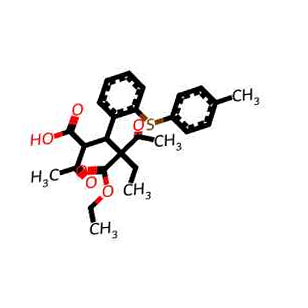 CCOC(=O)C(CC)(C(C)=O)C(c1ccccc1Sc1ccc(C)cc1)C(C(C)=O)C(=O)O